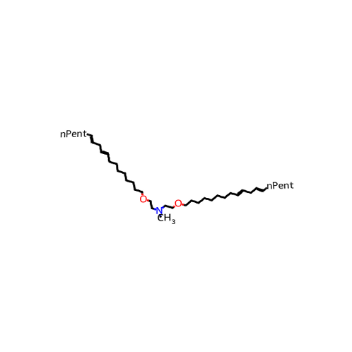 CCCCCC=CCC=CCCCCCCCCOCCN(C)CCOCCCCCCCCC=CCC=CCCCCC